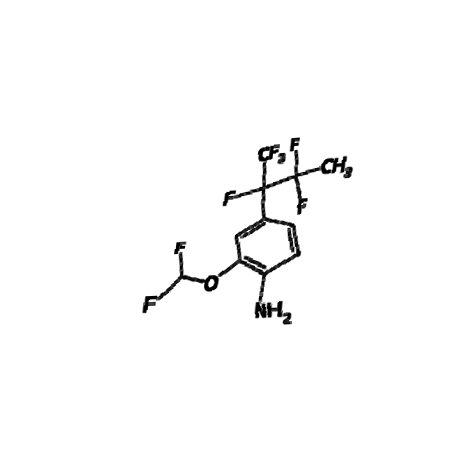 CC(F)(F)C(F)(c1ccc(N)c(OC(F)F)c1)C(F)(F)F